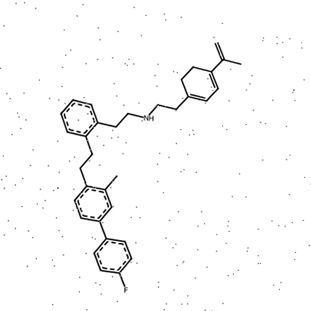 C=C(C)C1=CC=C(CCNCCc2ccccc2CCc2ccc(-c3ccc(F)cc3)cc2C)CC1